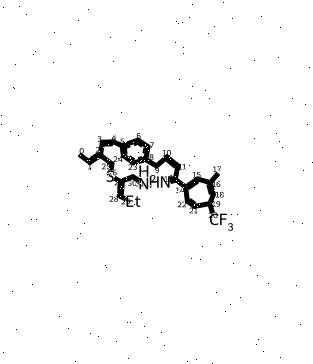 C/C=C(\C=C/c1ccc(C/C=C\C(=N)C2=CC(C)=CC(C(F)(F)F)C=C2)cc1)CS/C(=C/CC)CN